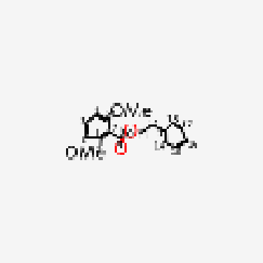 COc1cccc(OC)c1C(=O)OCCc1ccccc1